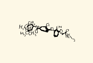 CC1(C)CC(NC(=O)c2ccc(Oc3cccc(OCC(N)=O)c3C#N)c(Cl)c2)CC(C)(C)N1